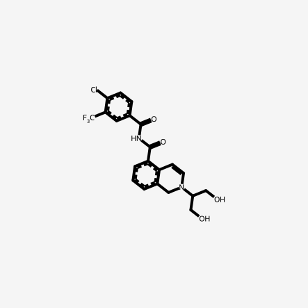 O=C(NC(=O)c1cccc2c1C=CN(C(CO)CO)C2)c1ccc(Cl)c(C(F)(F)F)c1